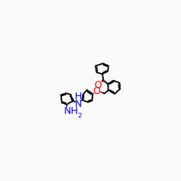 Nc1ccccc1Nc1ccc(OCc2ccccc2C(=O)c2ccccc2)cc1